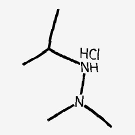 CC(C)NN(C)C.Cl